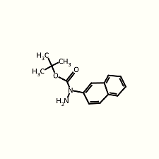 CC(C)(C)OC(=O)N(N)c1ccc2ccccc2c1